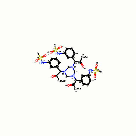 COC(=O)C(c1cccc(NS(C)(=O)=O)c1)N1CN(C(C(=O)OC)c2cccc(NS(C)(=O)=O)c2)CN(C(C(=O)OC)c2cccc(NS(C)(=O)=O)c2)C1